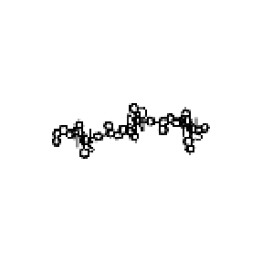 c1ccc2cc(-c3nc(-n4c5ccccc5c5c6ccc7cc(-c8ccc(-c9nc(-n%10c%11ccccc%11c%11c%12ccc%13cc(-c%14ccc(-c%15nc(-n%16c%17ccccc%17c%17c%18ccc%19ccc%20ccccc%20c%19c%18ccc%17%16)nc%16c%15sc%15ccccc%15%16)cc%14)c%14ccccc%14c%13c%12ccc%11%10)nc%10c9oc9ccccc9%10)cc8)c8ccccc8c7c6ccc54)nc4c3sc3ccccc34)ccc2c1